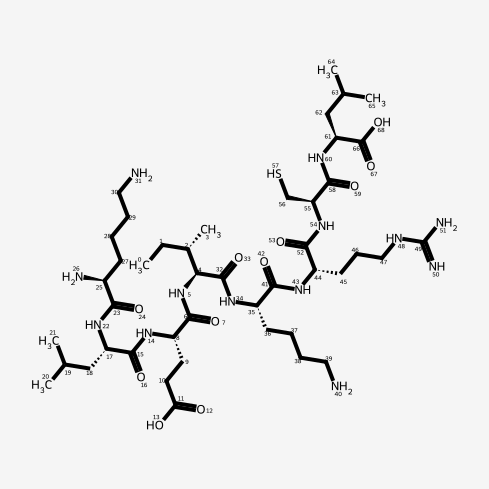 CC[C@H](C)[C@H](NC(=O)[C@H](CCC(=O)O)NC(=O)[C@H](CC(C)C)NC(=O)[C@@H](N)CCCCN)C(=O)N[C@@H](CCCCN)C(=O)N[C@@H](CCCNC(=N)N)C(=O)N[C@@H](CS)C(=O)N[C@@H](CC(C)C)C(=O)O